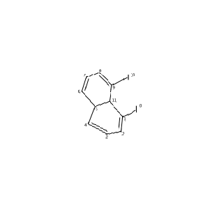 IC1=CC=CC2C=CC=C(I)C12